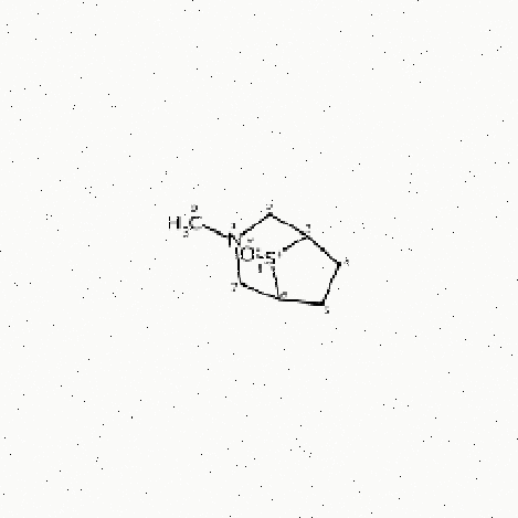 CN1CC2CCC(C1)[S+]2[O-]